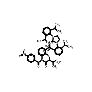 CC(C)c1cccc(C(C)C)c1N1CCN(c2c(C(C)C)cccc2C(C)C)[CH]1[Ru+2]=[CH]c1cccc2c1OC(C(C)C)C(=O)N2C(=O)c1ccc([N+](=O)[O-])cc1.[Cl-]